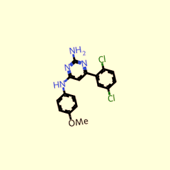 COc1ccc(Nc2cc(-c3cc(Cl)ccc3Cl)nc(N)n2)cc1